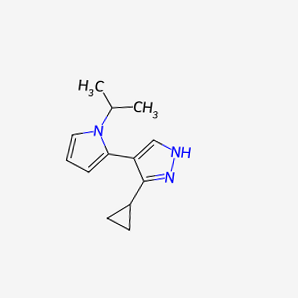 CC(C)n1cccc1-c1c[nH]nc1C1CC1